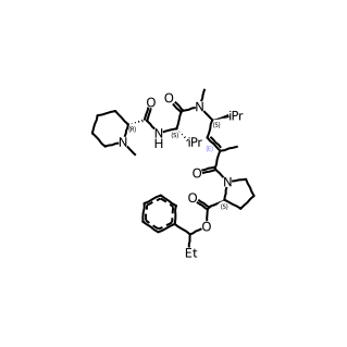 CCC(OC(=O)[C@@H]1CCCN1C(=O)/C(C)=C/[C@H](C(C)C)N(C)C(=O)[C@@H](NC(=O)[C@H]1CCCCN1C)C(C)C)c1ccccc1